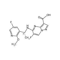 COc1ncc(F)cc1[C@@H](C)Nc1nc2c(C(=O)O)cnn2cc1F